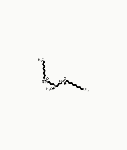 CCCCCCCCCS(=O)(=O)NCCCN(CC)CCCNS(=O)(=O)CCCCCCCCC